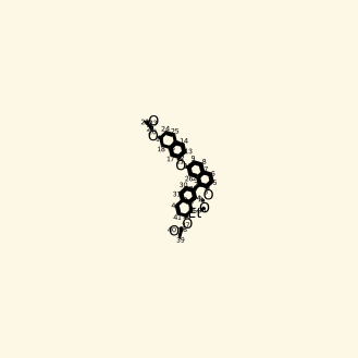 CCOCOc1ccc2ccc(Oc3ccc4c(c3)CC(OC3CO3)C=C4)cc2c1-c1ccc2c(c1)CC(OC1CO1)C=C2